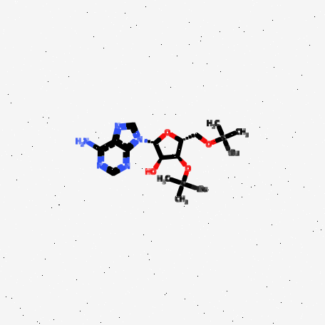 CC(C)(C)[Si](C)(C)OC[C@H]1O[C@@H](n2cnc3c(N)ncnc32)[C@H](O)[C@@H]1O[Si](C)(C)C(C)(C)C